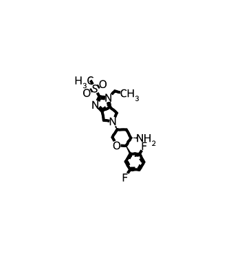 CCn1c(S(C)(=O)=O)nc2c1CN([C@H]1CO[C@H](c3cc(F)ccc3F)[C@@H](N)C1)C2